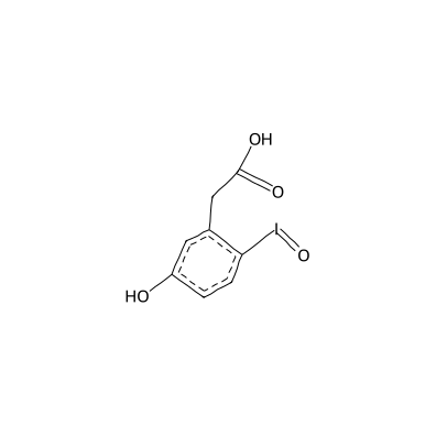 O=Ic1ccc(O)cc1CC(=O)O